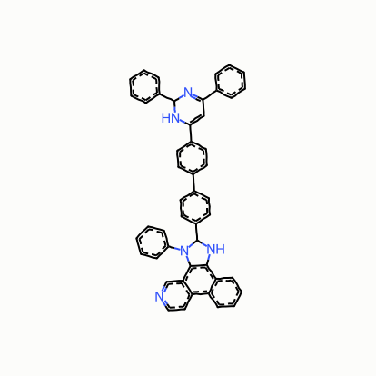 C1=C(c2ccc(-c3ccc(C4Nc5c(c6cnccc6c6ccccc56)N4c4ccccc4)cc3)cc2)NC(c2ccccc2)N=C1c1ccccc1